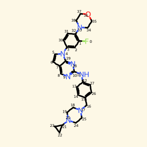 Fc1cc(-n2ccc3cnc(Nc4ccc(CN5CCN(C6CC6)CC5)cc4)nc32)ccc1N1CCOCC1